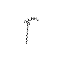 CCCCCCCCCCCCOC(=O)C(C)CN